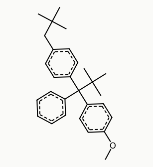 COc1ccc(C(c2ccccc2)(c2ccc(CC(C)(C)C)cc2)C(C)(C)C)cc1